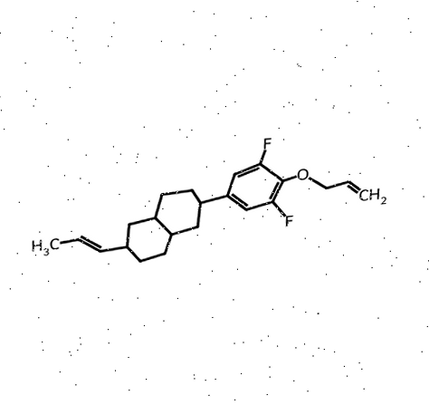 C=CCOc1c(F)cc(C2CCC3CC(C=CC)CCC3C2)cc1F